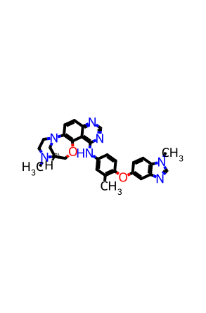 Cc1cc(Nc2ncnc3ccc4c(c23)OC[C@H]2CN4CCN2C)ccc1Oc1ccc2c(c1)ncn2C